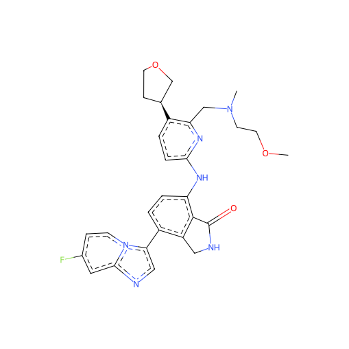 COCCN(C)Cc1nc(Nc2ccc(-c3cnc4cc(F)ccn34)c3c2C(=O)NC3)ccc1[C@H]1CCOC1